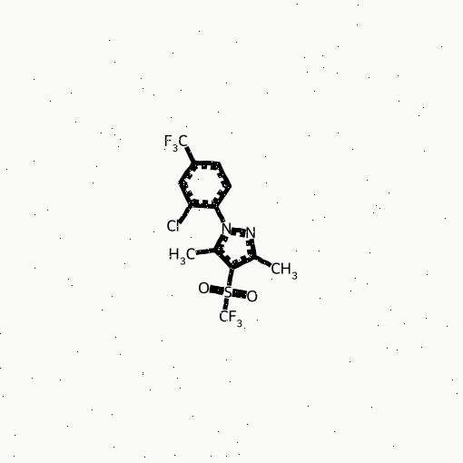 Cc1nn(-c2ccc(C(F)(F)F)cc2Cl)c(C)c1S(=O)(=O)C(F)(F)F